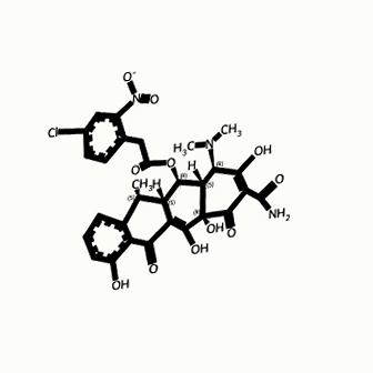 C[C@@H]1c2cccc(O)c2C(=O)C2=C(O)[C@@]3(O)C(=O)C(C(N)=O)=C(O)[C@H](N(C)C)[C@H]3[C@H](OC(=O)Cc3ccc(Cl)cc3[N+](=O)[O-])[C@H]21